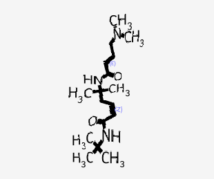 CN(C)C/C=C/C(=O)NC(C)(C)C/C=C\C(=O)NC(C)(C)C